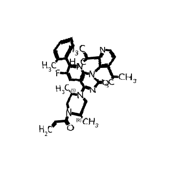 C=CC(=O)N1C[C@H](C)N(c2nc(=O)n(-c3c(C(C)C)ccnc3C(C)C)c3nc(-c4ccccc4C)c(F)cc23)C[C@H]1C